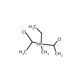 CC[PH](C)(C(C)Cl)C(C)Cl